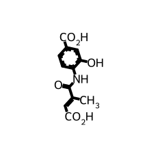 C/C(=C\C(=O)O)C(=O)Nc1ccc(C(=O)O)cc1O